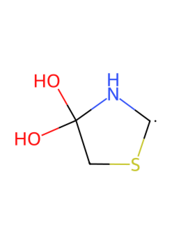 OC1(O)CS[CH]N1